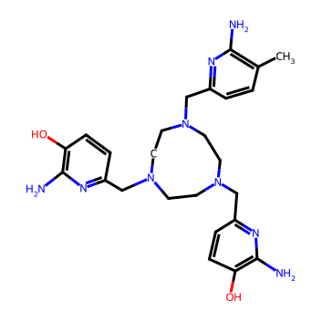 Cc1ccc(CN2CCN(Cc3ccc(O)c(N)n3)CCN(Cc3ccc(O)c(N)n3)CC2)nc1N